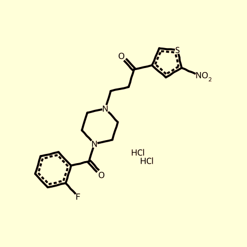 Cl.Cl.O=C(CCN1CCN(C(=O)c2ccccc2F)CC1)c1csc([N+](=O)[O-])c1